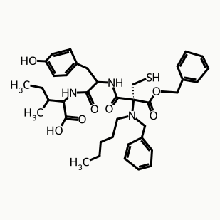 CCCCCN(Cc1ccccc1)[C@@](CS)(C(=O)NC(Cc1ccc(O)cc1)C(=O)NC(C(=O)O)C(C)CC)C(=O)OCc1ccccc1